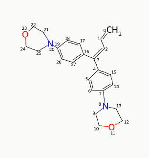 C=CC=C(c1ccc(N2CCOCC2)cc1)c1ccc(N2CCOCC2)cc1